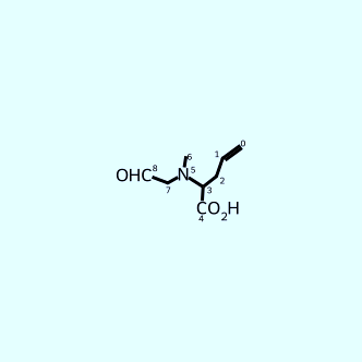 C=CCC(C(=O)O)N(C)CC=O